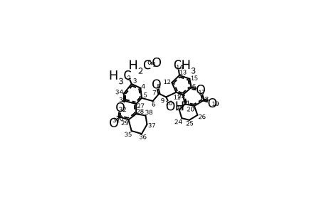 C=O.Cc1cc(CC(=O)C(O)c2cc(C)cc3oc(=O)c4c(c23)CCCC4)c2c3c(c(=O)oc2c1)CCCC3